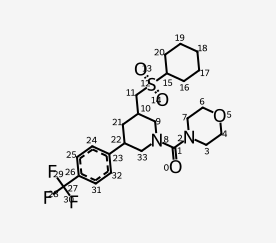 O=C(N1CCOCC1)N1CC(CS(=O)(=O)C2CCCCC2)CC(c2ccc(C(F)(F)F)cc2)C1